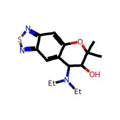 CCN(CC)C1c2cc3nsnc3cc2OC(C)(C)C1O